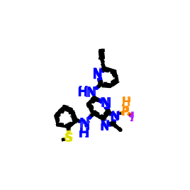 C#Cc1cccc(Nc2cc(Nc3ccccc3SC)c3nc(C)n(PI)c3n2)n1